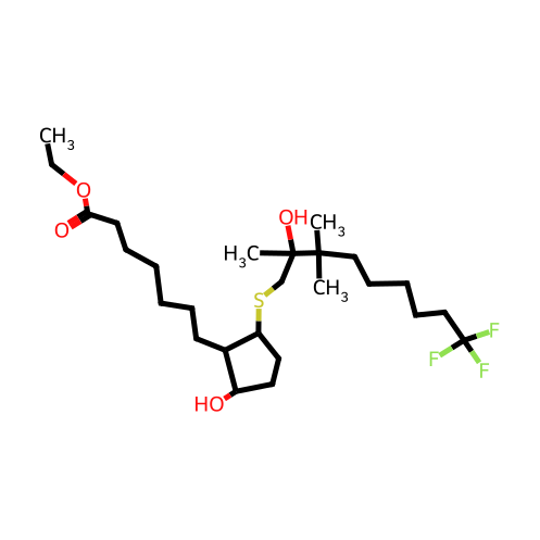 CCOC(=O)CCCCCCC1C(O)CCC1SCC(C)(O)C(C)(C)CCCCCC(F)(F)F